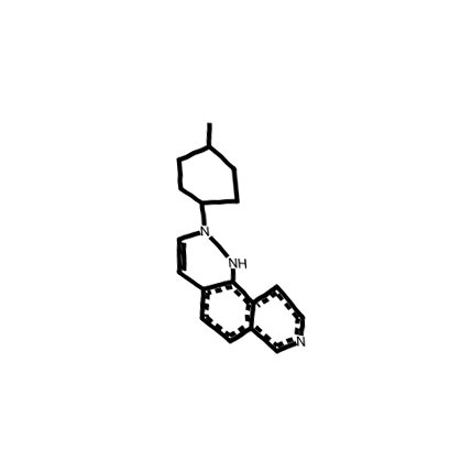 CC1CCC(N2C=Cc3ccc4cnccc4c3N2)CC1